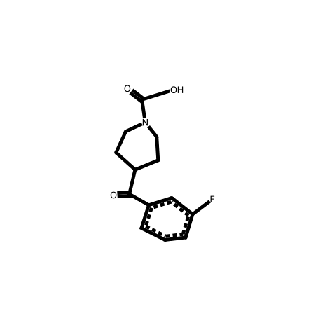 O=C(c1cccc(F)c1)C1CCN(C(=O)O)CC1